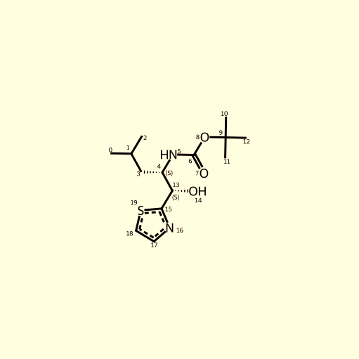 CC(C)C[C@H](NC(=O)OC(C)(C)C)[C@H](O)c1nccs1